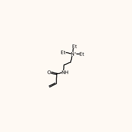 C=CC(=O)NCC[N+](CC)(CC)CC